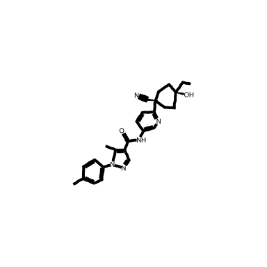 CC[C@]1(O)CC[C@](C#N)(c2ccc(NC(=O)c3cnn(-c4ccc(C)cc4)c3C)cn2)CC1